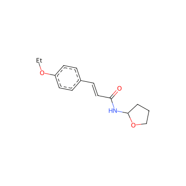 CCOc1ccc(C=CC(=O)NC2CCCO2)cc1